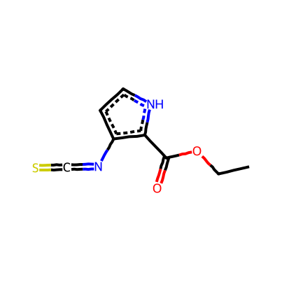 CCOC(=O)c1[nH]ccc1N=C=S